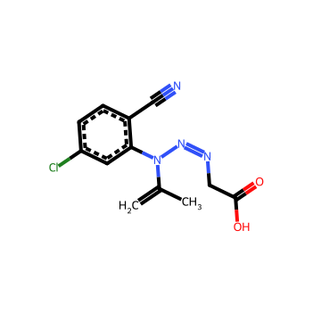 C=C(C)N(/N=N\CC(=O)O)c1cc(Cl)ccc1C#N